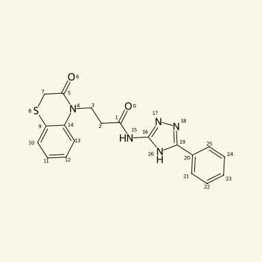 O=C(CCN1C(=O)CSc2ccccc21)Nc1nnc(-c2ccccc2)[nH]1